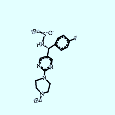 CC(C)(C)N1CCN(c2ncc([C@@H](N[S+]([O-])C(C)(C)C)c3ccc(F)cc3)cn2)CC1